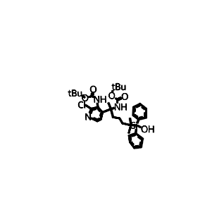 CC(C)(C)OC(=O)Nc1c(C(C)(CCCC(C)(C)[Si](O)(c2ccccc2)c2ccccc2)NC(=O)OC(C)(C)C)ccnc1Cl